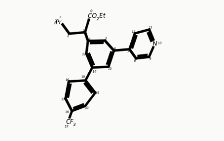 CCOC(=O)C(CC(C)C)c1cc(-c2ccncc2)cc(-c2ccc(C(F)(F)F)cc2)c1